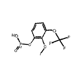 O=[PH](O)Oc1cccc(OC(F)(F)F)c1OI